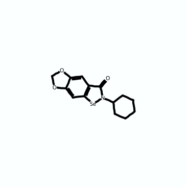 O=c1c2cc3c(cc2[se]n1C1CCCCC1)OCO3